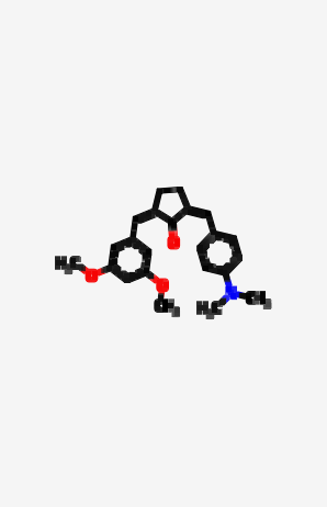 COc1cc(C=C2CCC(=Cc3ccc(N(C)C)cc3)C2=O)cc(OC)c1